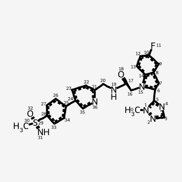 Cn1ncnc1-c1cc2cc(F)ccc2n1CC(=O)NCc1ccc(-c2ccc(S(C)(=N)=O)cc2)cn1